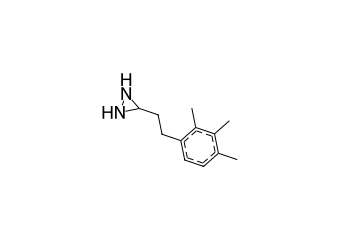 Cc1ccc(CCC2NN2)c(C)c1C